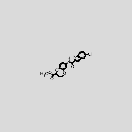 COC(=O)C1CCOc2cc(NC(=O)c3cc4cc(Cl)ccc4[nH]3)ccc2O1